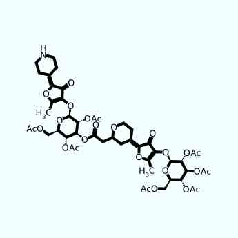 CC(=O)OC[C@H]1O[C@@H](OC2=C(C)O/C(=C3/CCOC(CC(=O)O[C@@H]4[C@@H](OC(C)=O)[C@H](OC5=C(C)OC(=C6CCNCC6)C5=O)O[C@H](COC(C)=O)[C@H]4OC(C)=O)C3)C2=O)[C@H](OC(C)=O)[C@@H](OC(C)=O)[C@@H]1OC(C)=O